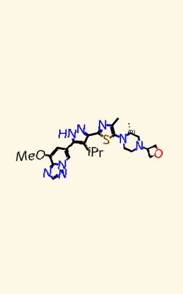 COc1cc(-c2[nH]nc(-c3nc(C)c(N4CCN(C5COC5)C[C@H]4C)s3)c2C(C)C)cn2ncnc12